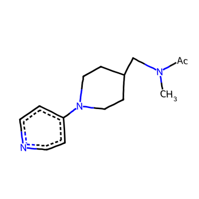 CC(=O)N(C)CC1CCN(c2ccncc2)CC1